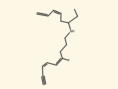 C#C/C=C\C=C(\F)CCCNC(CC)C/C=C\C=C